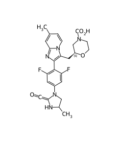 Cc1ccn2c(C[C@H]3CN(C(=O)O)CCO3)c(-c3c(F)cc(N4CC(C)NC4=C=O)cc3F)nc2c1